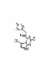 C=N/C=C\C(CNc1nc(Cl)nc2[nH]cc(Cl)c12)=N/C